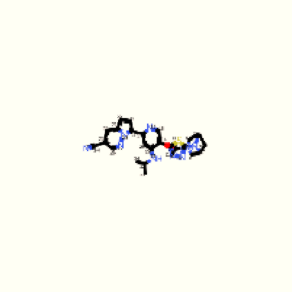 CC(=O)N1CC2CC(C1)N2c1nnc(-c2cnc(-c3ccc4cc(C#N)cnn34)cc2NC(C)C)s1